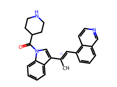 N#C/C(=C\c1cccc2cnccc12)c1cn(C(=O)C2CCNCC2)c2ccccc12